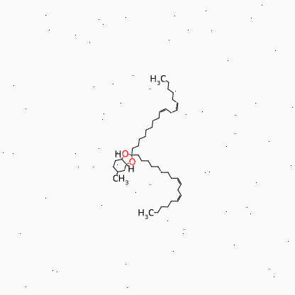 CCCCC/C=C\C/C=C\CCCCCCCCC1(CCCCCCCC/C=C\C/C=C\CCCCC)O[C@@H]2CC[C@H](C)C[C@H]2O1